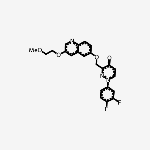 COCCOc1cnc2ccc(OCc3nn(-c4ccc(F)c(F)c4)ccc3=O)cc2c1